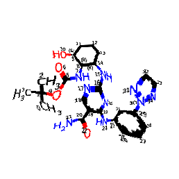 CC(C)(C)OC(=O)N[C@H]1[C@@H](O)CCC[C@H]1Nc1ncc(C(N)=O)c(Nc2cccc(-n3nccn3)c2)n1